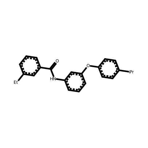 CCc1cccc(C(=O)Nc2cccc(Oc3ccc(C(C)C)cc3)c2)c1